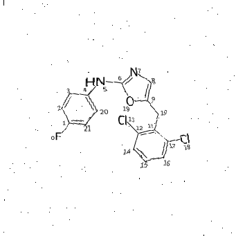 Fc1ccc(Nc2ncc(Cc3c(Cl)cccc3Cl)o2)cc1